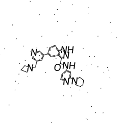 O=C(Nc1ccnc(N2CCCCC2)c1)c1n[nH]c2ccc(-c3cncc(CN4CCC4)c3)cc12